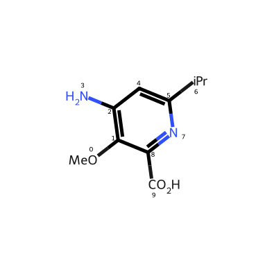 COc1c(N)cc(C(C)C)nc1C(=O)O